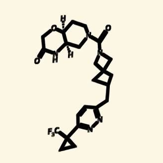 O=C1CO[C@H]2CCN(C(=O)N3CC4(CC(Cc5ccc(C6(C(F)(F)F)CC6)nn5)C4)C3)C[C@H]2N1